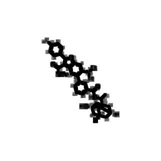 CCN(CC)c1cc2oc(-c3ccc(F)cc3)c(C(=O)NC)c2cc1-c1cccc(C(=O)NC(C)[C@@]23C[C@@H]4C[C@@H](C[C@@](O)(C4)C2)C3)c1